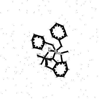 C[SiH](C)[Zr]([CH2]c1ccccc1)([CH2]c1ccccc1)([NH]C(C)(C)C)[CH]1C(Br)=Cc2ccccc21